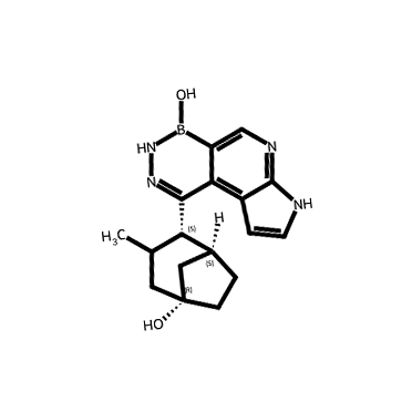 CC1C[C@]2(O)CC[C@@H](C2)[C@H]1C1=NNB(O)c2cnc3[nH]ccc3c21